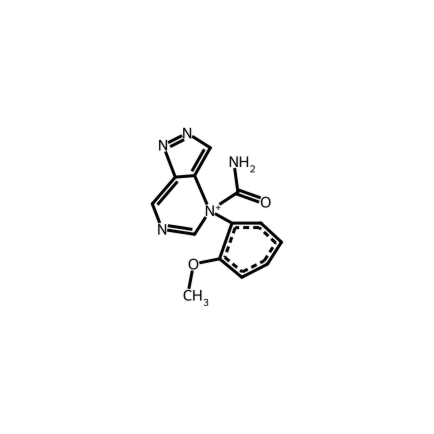 COc1ccccc1[N+]1(C(N)=O)C=NC=C2N=NC=C21